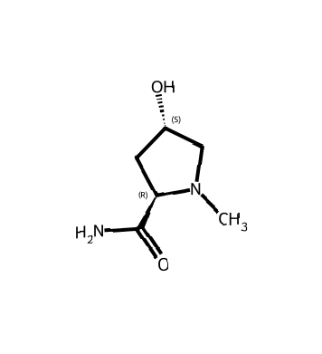 CN1C[C@@H](O)C[C@@H]1C(N)=O